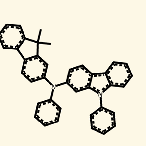 CC1(C)c2ccccc2-c2ccc(N(c3ccccc3)c3ccc4c5ccccc5n(-c5ccccc5)c4c3)cc21